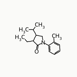 CCC1C(=O)N(c2ccccc2C)CC1C(C)C